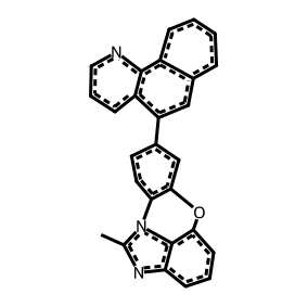 Cc1nc2cccc3c2n1-c1ccc(-c2cc4ccccc4c4ncccc24)cc1O3